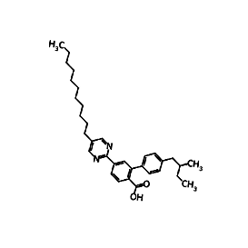 CCCCCCCCCCCc1cnc(-c2ccc(C(=O)O)c(-c3ccc(C[C@@H](C)CC)cc3)c2)nc1